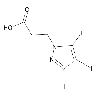 O=C(O)CCn1nc(I)c(I)c1I